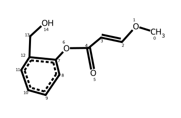 COC=CC(=O)Oc1ccccc1CO